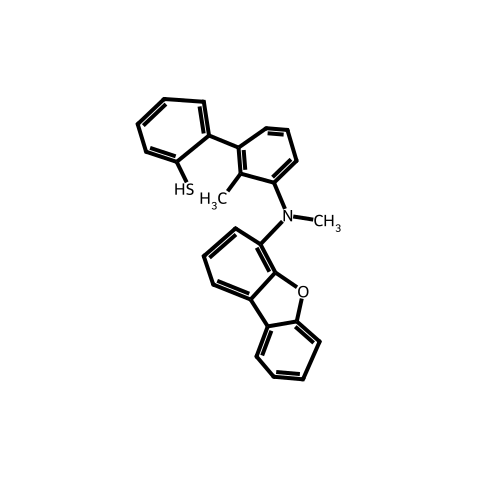 Cc1c(-c2ccccc2S)cccc1N(C)c1cccc2c1oc1ccccc12